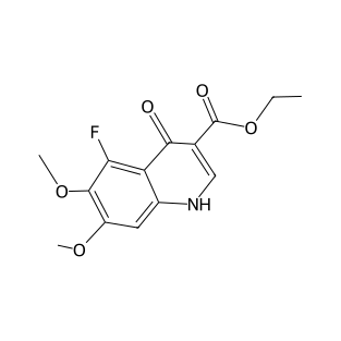 CCOC(=O)c1c[nH]c2cc(OC)c(OC)c(F)c2c1=O